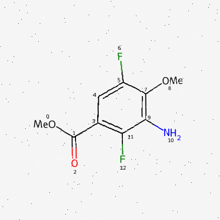 COC(=O)c1cc(F)c(OC)c(N)c1F